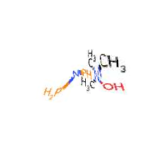 C[N+](C)(C)O.P=NP